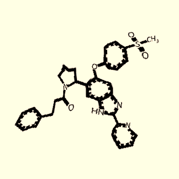 CS(=O)(=O)c1ccc(Oc2cc3nc(-c4ccccn4)[nH]c3cc2C2CCCN2C(=O)CCc2ccccc2)cc1